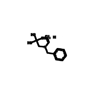 C=CN(Cc1ccccc1)CC(O)(O)O.I